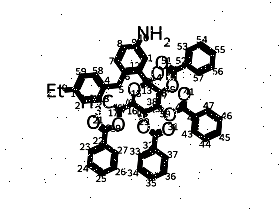 CCc1ccc(Cc2ccc(N)cc2[C@@]2(O)O[C@H]([C@H](C)OC(=O)c3ccccc3)[C@@H](OC(=O)c3ccccc3)[C@H](OC(=O)c3ccccc3)[C@H]2OC(=O)c2ccccc2)cc1